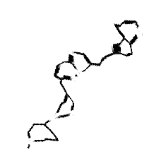 CN1CCC(n2cc(-c3ccc4ncc(Cc5ccc6ncccc6c5)n4n3)cn2)CC1